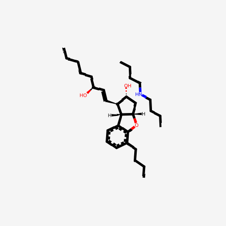 CCCCC[C@H](O)C=C[C@@H]1[C@H]2c3cccc(CCCC)c3O[C@H]2C[C@H]1O.CCCCNCCCC